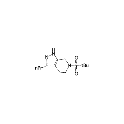 CCCc1n[nH]c2c1CCN(S(=O)(=O)C(C)(C)C)C2